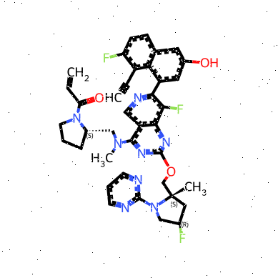 C#Cc1c(F)ccc2cc(O)cc(-c3ncc4c(N(C)C[C@@H]5CCCN5C(=O)C=C)nc(OC[C@]5(C)C[C@@H](F)CN5c5ncccn5)nc4c3F)c12